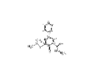 CC(C)Cn1nc(-c2ccncc2)cc(C(=O)NN)c1=O